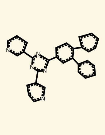 c1ccc(-c2ccc(-c3nc(-c4cccnc4)nc(-c4cccnc4)n3)cc2-c2ccccc2)cc1